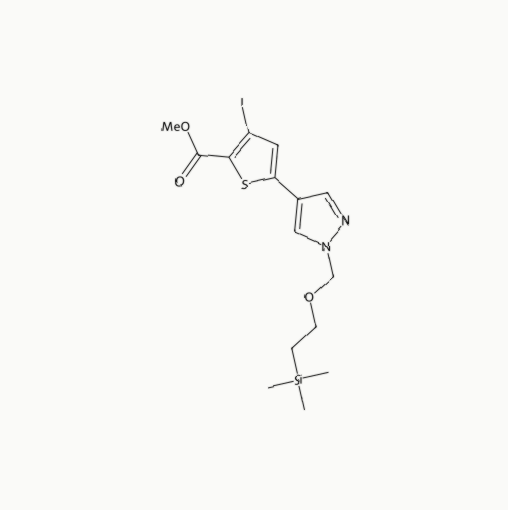 COC(=O)c1sc(-c2cnn(COCC[Si](C)(C)C)c2)cc1I